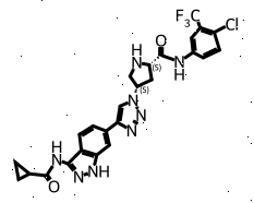 O=C(Nc1n[nH]c2cc(-c3cn([C@@H]4CN[C@H](C(=O)Nc5ccc(Cl)c(C(F)(F)F)c5)C4)nn3)ccc12)C1CC1